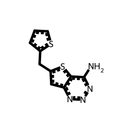 Nc1nnnc2cc(Cc3cccs3)sc12